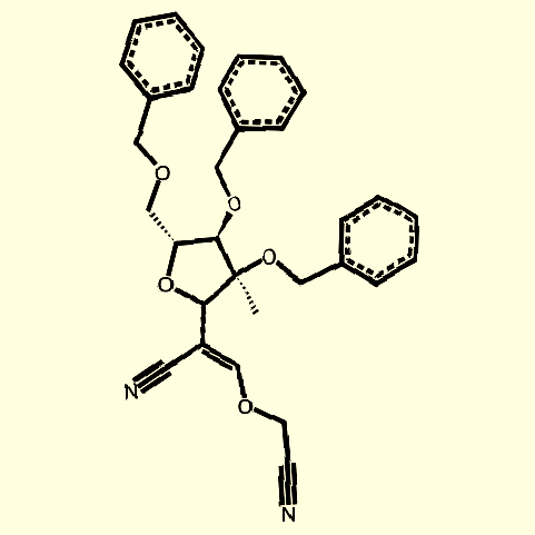 C[C@]1(OCc2ccccc2)C(C(C#N)=COCC#N)O[C@H](COCc2ccccc2)[C@H]1OCc1ccccc1